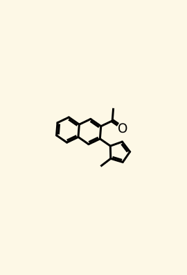 CC(=O)c1cc2ccccc2cc1C1C=CC=C1C